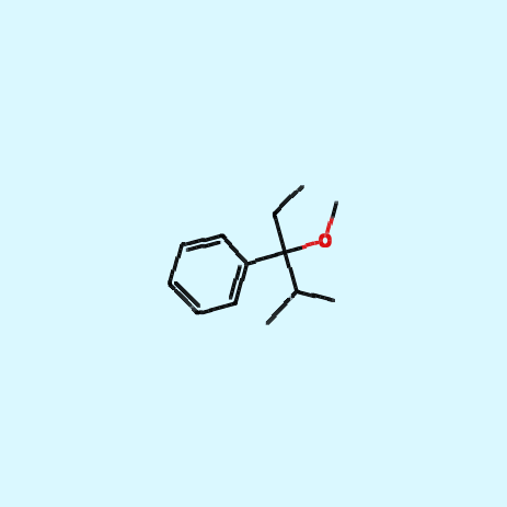 CCC(OC)(c1ccccc1)C(C)C